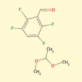 COC(C)OC.O=Cc1c(F)c(F)cc(F)c1F